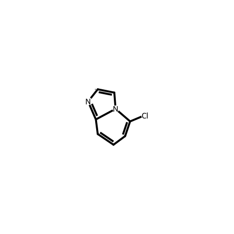 Clc1cccc2n[c]cn12